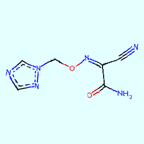 N#CC(=NOCn1cncn1)C(N)=O